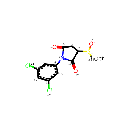 CCCCCCCC[S+]([O-])C1CC(=O)N(c2cc(Cl)cc(Cl)c2)C1=O